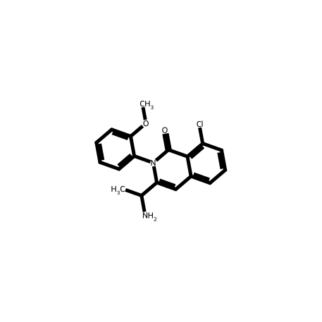 COc1ccccc1-n1c(C(C)N)cc2cccc(Cl)c2c1=O